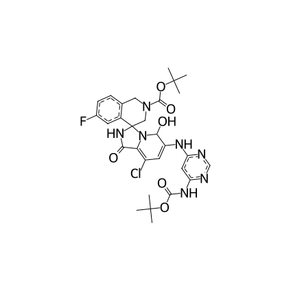 CC(C)(C)OC(=O)Nc1cc(NC2=CC(Cl)=C3C(=O)NC4(CN(C(=O)OC(C)(C)C)Cc5ccc(F)cc54)N3C2O)ncn1